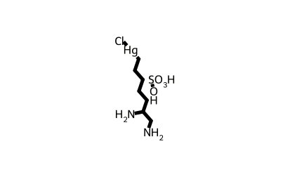 NCC(N)CCCC[CH2][Hg][Cl].O=S(=O)(O)O